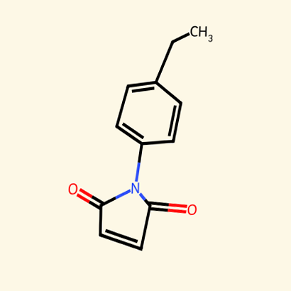 CCc1ccc(N2C(=O)C=CC2=O)cc1